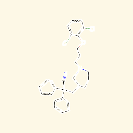 N#CC(CC1CCCN(CCCOc2c(Cl)cccc2Cl)C1)(c1ccccc1)c1ccccc1